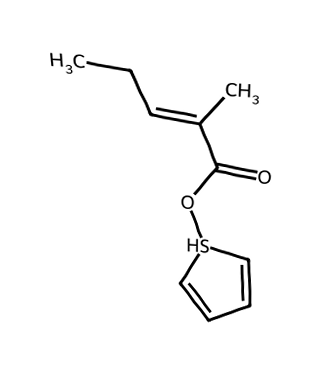 CCC=C(C)C(=O)O[SH]1C=CC=C1